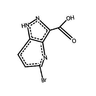 O=C(O)c1n[nH]c2ccc(Br)nc12